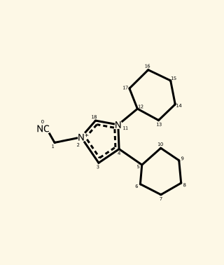 N#CC[n+]1cc(C2CCCCC2)n(C2CCCCC2)c1